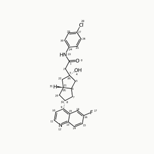 O=C(C[C@@]1(O)CC2C[C@H](c3ccnc4ccc(F)cc34)C[C@@H]2C1)Nc1ccc(Cl)cc1